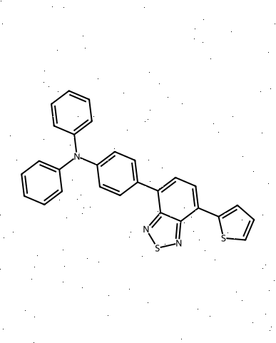 c1ccc(N(c2ccccc2)c2ccc(-c3ccc(-c4cccs4)c4nsnc34)cc2)cc1